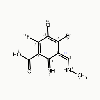 CN/C=C1\C(=N)C(C(=O)O)=C(F)C(Cl)=C1Br